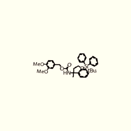 COc1ccc(COC(=O)NC(C)(CCO[Si](c2ccccc2)(c2ccccc2)C(C)(C)C)c2ccccc2)cc1OC